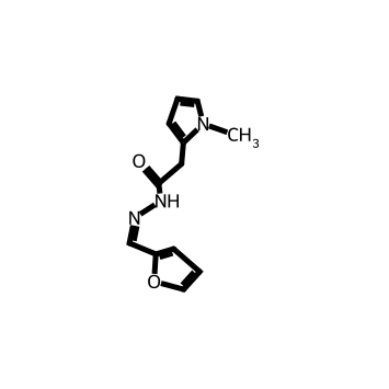 Cn1cccc1CC(=O)N/N=C\c1ccco1